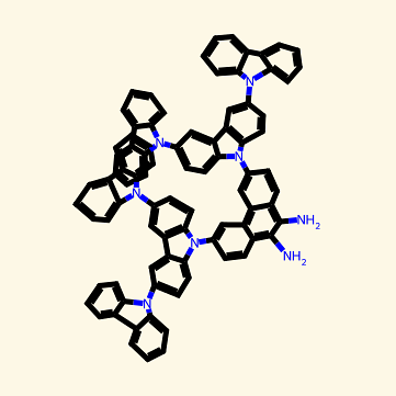 Nc1c(N)c2ccc(-n3c4ccc(-n5c6ccccc6c6ccccc65)cc4c4cc(-n5c6ccccc6c6ccccc65)ccc43)cc2c2cc(-n3c4ccc(-n5c6ccccc6c6ccccc65)cc4c4cc(-n5c6ccccc6c6ccccc65)ccc43)ccc12